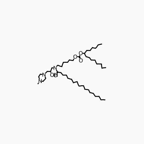 CCCCCCCCCCCCCCCCCC(=O)N(CCCCCCOC(=O)OC(CCCCCC)CCCCCCCC)CC(O)CN1CCN(C)CC1